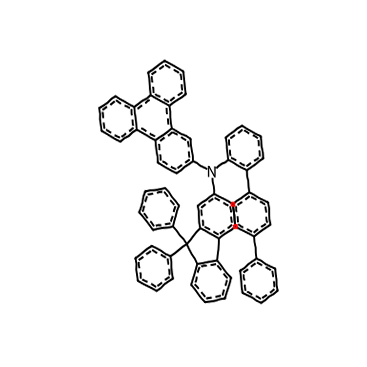 c1ccc(-c2ccc(-c3ccccc3N(c3ccc4c(c3)C(c3ccccc3)(c3ccccc3)c3ccccc3-4)c3ccc4c5ccccc5c5ccccc5c4c3)cc2)cc1